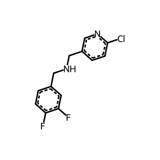 Fc1ccc(CNCc2ccc(Cl)nc2)cc1F